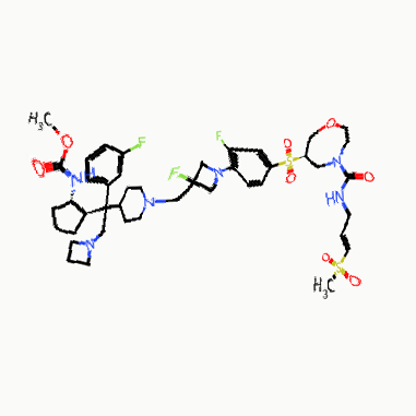 COC(=O)N[C@H]1CCC[C@@H]1C(CN1CCC1)(c1cccc(F)c1)C1CCN(CC2(F)CN(c3ccc(S(=O)(=O)[C@H]4COCCN(C(=O)NC/C=C/S(C)(=O)=O)C4)cc3F)C2)CC1